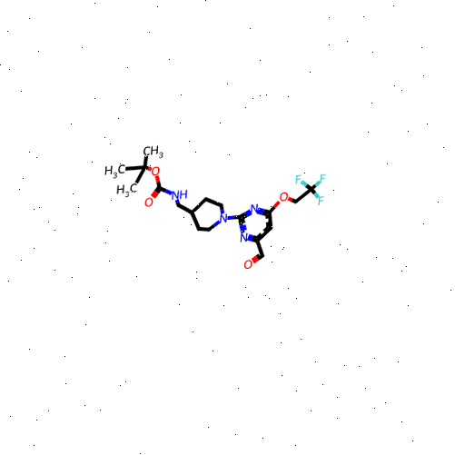 CC(C)(C)OC(=O)NCC1CCN(c2nc(C=O)cc(OCC(F)(F)F)n2)CC1